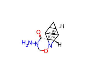 NN1CON2[C@H]3C4C=CC(C5C[C@H]54)[C@@]32C1=O